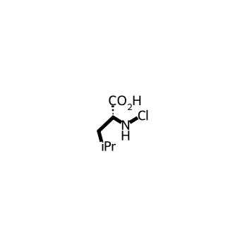 CC(C)C[C@@H](NCl)C(=O)O